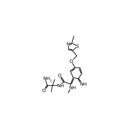 CN/C(C(=O)NC(C)(C)C(N)=O)=C1/C=C(OCc2cnc(C)s2)C=CC1=N